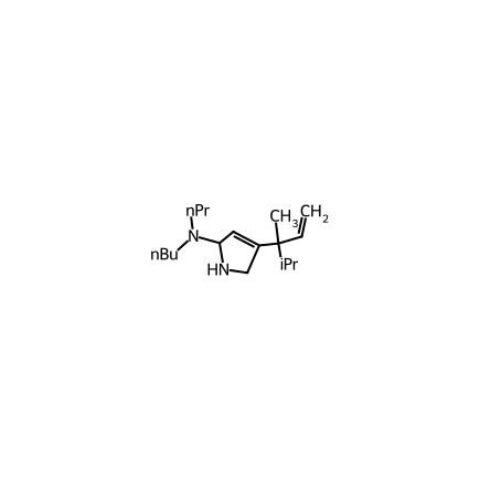 C=CC(C)(C1=CC(N(CCC)CCCC)NC1)C(C)C